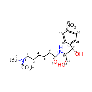 CC(C)(C)N(CCCCCC(=O)N[C@H](CO)[C@@H](O)c1ccc([N+](=O)[O-])cc1)C(=O)O